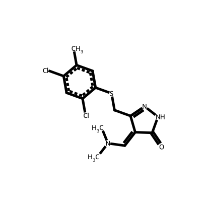 Cc1cc(SCC2=NNC(=O)C2=CN(C)C)c(Cl)cc1Cl